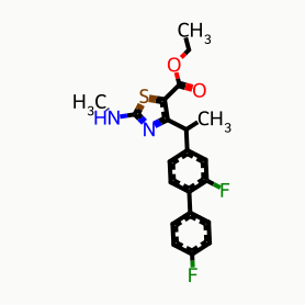 CCOC(=O)c1sc(NC)nc1C(C)c1ccc(-c2ccc(F)cc2)c(F)c1